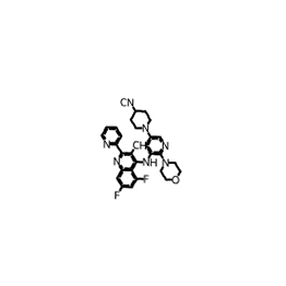 [C-]#[N+]C1CCN(c2cnc(N3CCOCC3)c(Nc3c(C)c(-c4ccccn4)nc4cc(F)cc(F)c34)c2)CC1